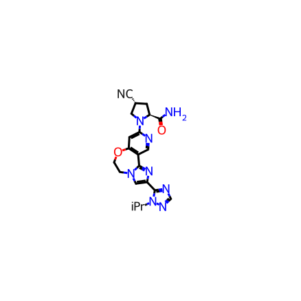 CC(C)n1ncnc1-c1cn2c(n1)-c1cnc(N3C[C@H](C#N)C[C@H]3C(N)=O)cc1OCC2